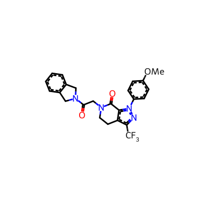 COc1ccc(-n2nc(C(F)(F)F)c3c2C(=O)N(CC(=O)N2Cc4ccccc4C2)CC3)cc1